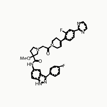 COC1(C(=O)Nc2ccc3[nH]nc(-c4ccc(F)cc4)c3c2)CCN(CC(=O)N2CC=C(c3ccc(-c4ncccn4)cc3F)CC2)C1